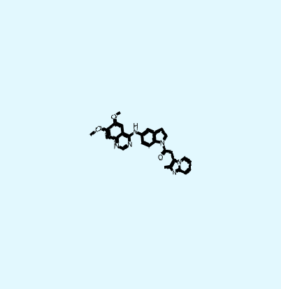 COc1cc2ncnc(Nc3ccc4c(c3)CCN4C(=O)Cc3c(C)nc4ccccn34)c2cc1OC